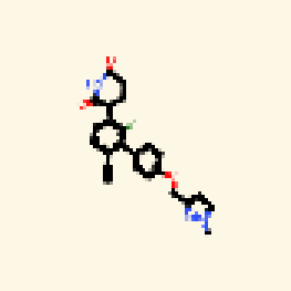 C#Cc1ccc(C2CCC(=O)NC2=O)c(Cl)c1-c1ccc(OCc2ccn(C)n2)cc1